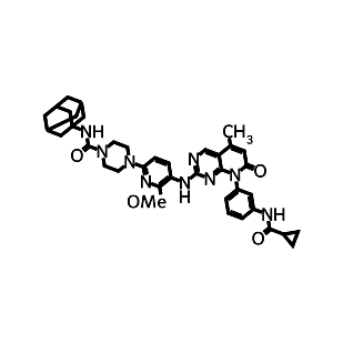 COc1nc(N2CCN(C(=O)NC34CC5CC(CC(C5)C3)C4)CC2)ccc1Nc1ncc2c(C)cc(=O)n(-c3cccc(NC(=O)C4CC4)c3)c2n1